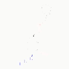 [N-]=[N+]=N[C@H]1CC[C@@H](COOCc2ccccc2)C[C@@H]1O